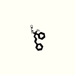 CC(C)C(CC=Cc1ccccc1)(N=C=O)c1ccccc1